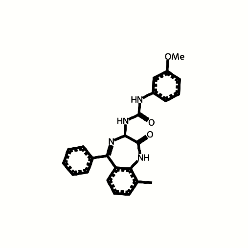 COc1cccc(NC(=O)NC2N=C(c3ccccc3)c3cccc(C)c3NC2=O)c1